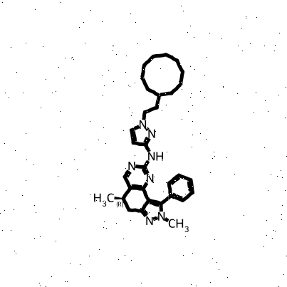 C[C@@H]1Cc2nn(C)c(-c3ccccc3)c2-c2nc(Nc3ccn(CCC4CCCCCCCCC4)n3)ncc21